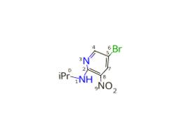 CC(C)Nc1ncc(Br)cc1[N+](=O)[O-]